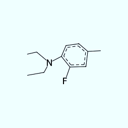 CCN(CC)c1ccc(C)cc1F